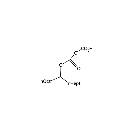 CCCCCCCCC(CCCCCCC)OC(=O)CC(=O)O